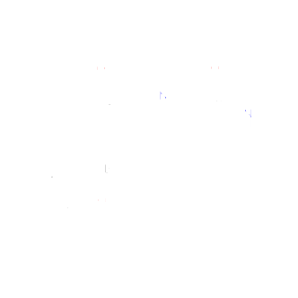 CNC(=O)c1ccc(B2OC(C)(C)C(C)(C)O2)c(C(=O)OC)n1